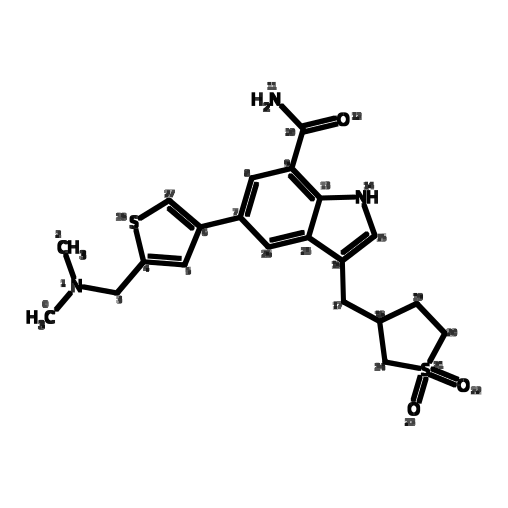 CN(C)Cc1cc(-c2cc(C(N)=O)c3[nH]cc(CC4CCS(=O)(=O)C4)c3c2)cs1